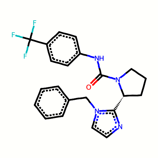 O=C(Nc1ccc(C(F)(F)F)cc1)N1CCC[C@@H]1c1nccn1Cc1ccccc1